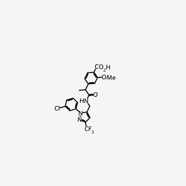 COc1cc(C(C)C(=O)NCc2cc(C(F)(F)F)nn2-c2cccc(Cl)c2)ccc1C(=O)O